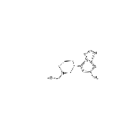 Cc1cc(C2CCCN(CO)C2)n2ncnc2n1